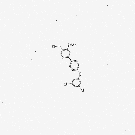 COc1cc(-c2ccc(Oc3cc(Cl)cc(Cl)c3)cc2)ccc1CCl